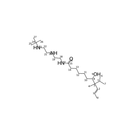 CC=CC(C)(C(C)C)C(O)CCCCCC(=O)NCCNCCNC(C)(C)C